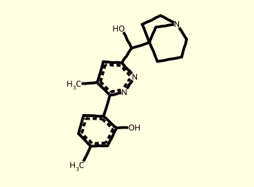 Cc1ccc(-c2nnc(C(O)C34CCCN(CC3)C4)cc2C)c(O)c1